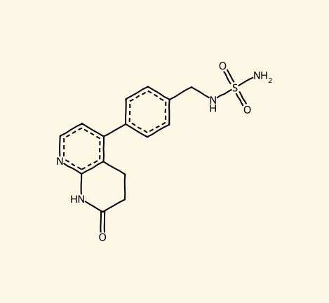 NS(=O)(=O)NCc1ccc(-c2ccnc3c2CCC(=O)N3)cc1